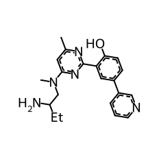 CCC(N)CN(C)c1cc(C)nc(-c2cc(-c3cccnc3)ccc2O)n1